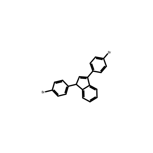 Brc1ccc(C2=CC(c3ccc(Br)cc3)c3ccccc32)cc1